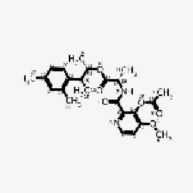 COc1ccnc(C(=O)N[C@@H](C)C(=O)O[C@@H](C)[C@@H](C)c2ccc(C)cc2C)c1OC(C)=O